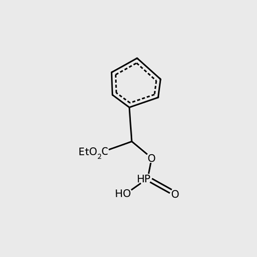 CCOC(=O)C(O[PH](=O)O)c1ccccc1